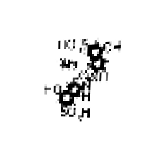 O=C(Nc1ccc2c(O)cc(S(=O)(=O)O)cc2c1)Nc1ccc2c(O)cc(S(=O)(=O)O)cc2c1.[Na].[Na]